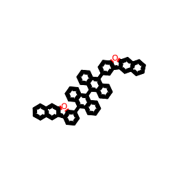 c1ccc2cc3c(cc2c1)oc1ccc(-c2c4ccccc4c(-c4c5ccccc5c(-c5cccc6c5oc5cc7ccccc7cc56)c5ccccc45)c4ccccc24)cc13